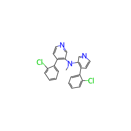 CN(c1cnccc1-c1ccccc1Cl)c1cnccc1-c1ccccc1Cl